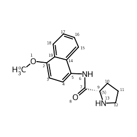 COc1ccc(NC(=O)[C@@H]2CCCN2)c2ccccc12